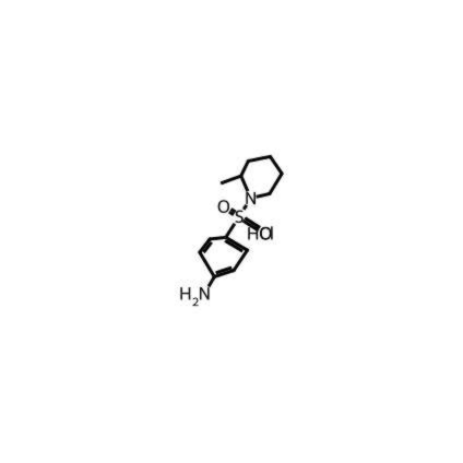 CC1CCCCN1S(=O)(=O)c1ccc(N)cc1.Cl